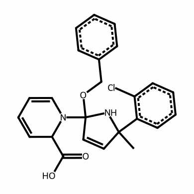 CC1(c2ccccc2Cl)C=CC(OCc2ccccc2)(N2C=CC=CC2C(=O)O)N1